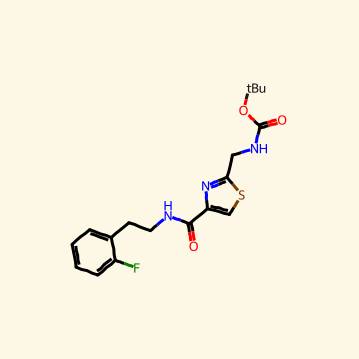 CC(C)(C)OC(=O)NCc1nc(C(=O)NCCc2ccccc2F)cs1